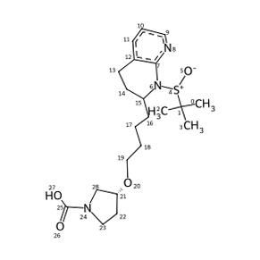 CC(C)(C)[S+]([O-])N1c2ncccc2CCC1CCCCO[C@@H]1CCN(C(=O)O)C1